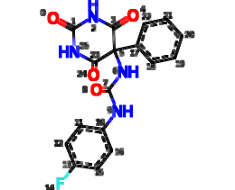 O=C1NC(=O)C(NC(=O)Nc2ccc(F)cc2)(c2ccccc2)C(=O)N1